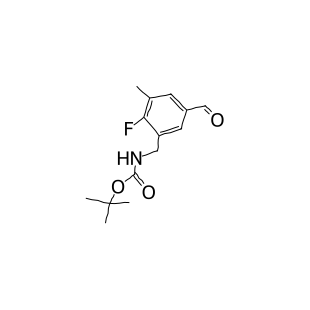 Cc1cc(C=O)cc(CNC(=O)OC(C)(C)C)c1F